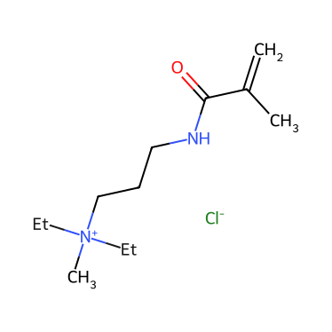 C=C(C)C(=O)NCCC[N+](C)(CC)CC.[Cl-]